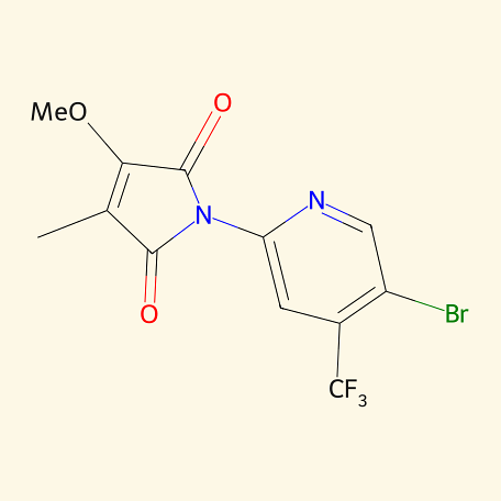 COC1=C(C)C(=O)N(c2cc(C(F)(F)F)c(Br)cn2)C1=O